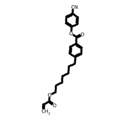 C=CC(=O)OCCCCCCCc1ccc(C(=O)Oc2ccc(C#N)cc2)cc1